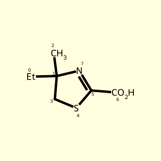 CCC1(C)CSC(C(=O)O)=N1